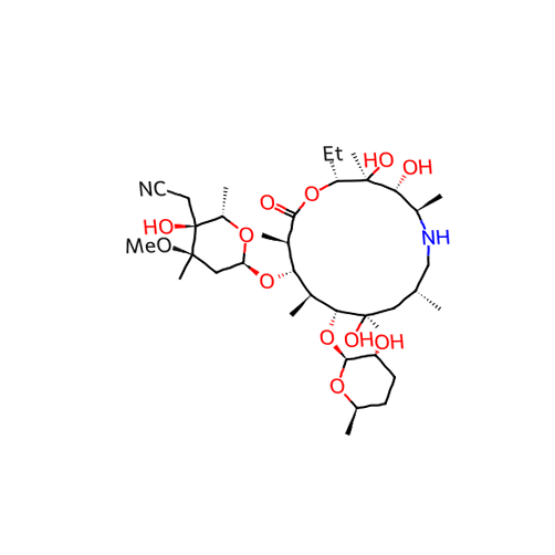 CC[C@H]1OC(=O)[C@H](C)[C@@H](O[C@H]2C[C@@](C)(OC)[C@](O)(CC#N)[C@H](C)O2)[C@H](C)[C@@H](O[C@@H]2O[C@H](C)CC[C@H]2O)[C@](C)(O)C[C@@H](C)CN[C@H](C)[C@@H](O)[C@]1(C)O